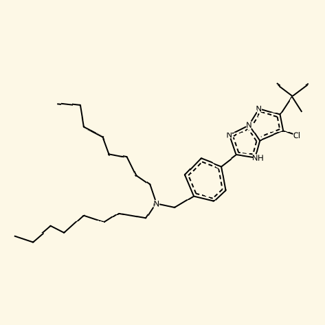 CCCCCCCCN(CCCCCCCC)Cc1ccc(-c2nn3nc(C(C)(C)C)c(Cl)c3[nH]2)cc1